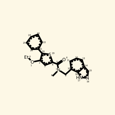 CCOc1cc(C(=O)N(C)Cc2cccc3cn[nH]c23)sc1-c1ccccc1